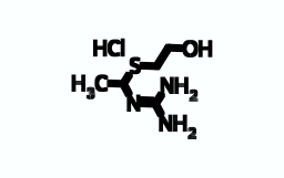 CC(N=C(N)N)SCCO.Cl